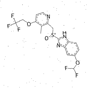 Cc1c(OCC(F)(F)F)ccnc1C[S+]([O-])c1nc2cc(OC(F)F)ccc2[nH]1